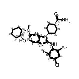 CN(c1ncc2nc(Nc3c(F)cc(Cl)cc3F)n([C@H]3CC[C@H](C(N)=O)CC3)c2n1)[C@H]1CCCC[C@H]1O